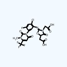 Cn1c(C(F)(F)F)cc(=O)n(-c2cc(N=C3OC(CC(=O)O)C(=O)N3CC(=O)O)c(Cl)cc2F)c1=O